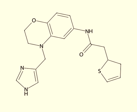 O=C(CC1CC=CS1)Nc1ccc2c(c1)N(Cc1c[nH]cn1)CCO2